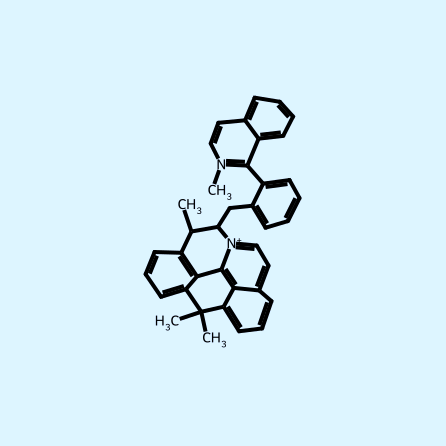 CC1c2cccc3c2-c2c4c(cccc4cc[n+]2C1Cc1ccccc1-c1c2ccccc2cc[n+]1C)C3(C)C